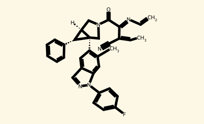 C=C/N=C(C(=O)N1C[C@@H]2[C@@H](c3ccccc3)[C@]2(c2cc3cnn(-c4ccc(F)cc4)c3cc2C)C1)\C(C#N)=C/C